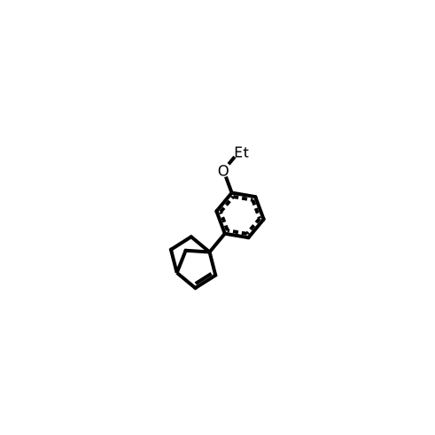 CCOc1cccc(C23C=CC(CC2)C3)c1